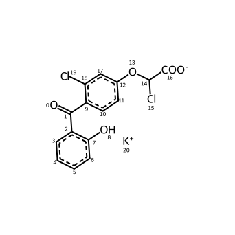 O=C(c1ccccc1O)c1ccc(OC(Cl)C(=O)[O-])cc1Cl.[K+]